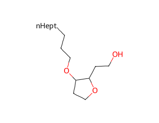 CCCCCCCCCCOC1CCOC1CCO